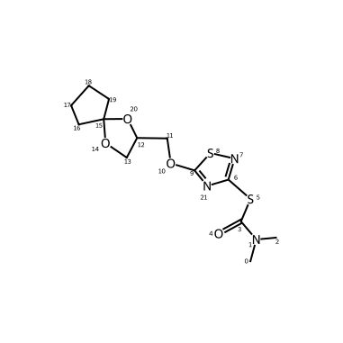 CN(C)C(=O)Sc1nsc(OCC2COC3(CCCC3)O2)n1